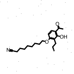 CCCc1c(OCCCCCCCCC#N)ccc(C(C)=O)c1O